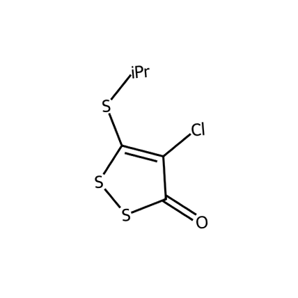 CC(C)Sc1ssc(=O)c1Cl